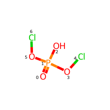 O=P(O)(OCl)OCl